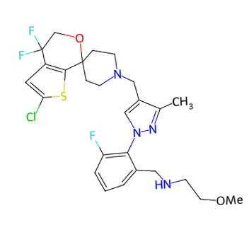 COCCNCc1cccc(F)c1-n1cc(CN2CCC3(CC2)OCC(F)(F)c2cc(Cl)sc23)c(C)n1